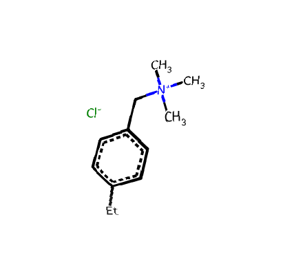 CCc1ccc(C[N+](C)(C)C)cc1.[Cl-]